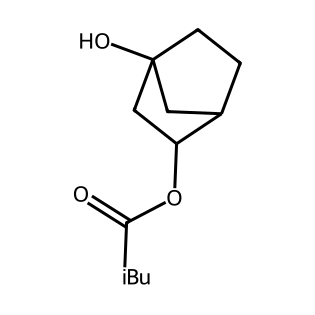 CCC(C)C(=O)OC1CC2(O)CCC1C2